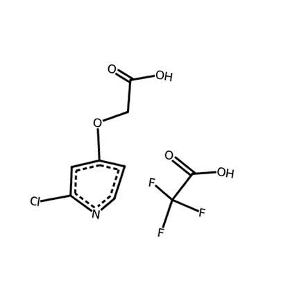 O=C(O)C(F)(F)F.O=C(O)COc1ccnc(Cl)c1